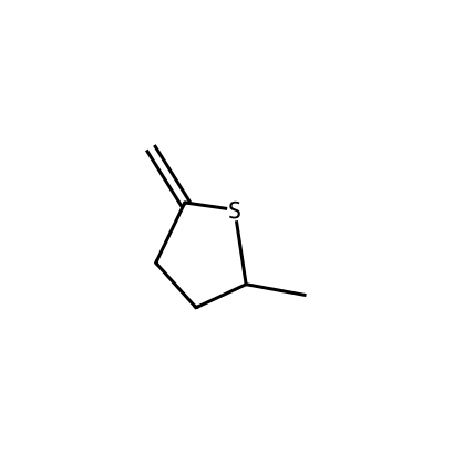 C=C1CCC(C)S1